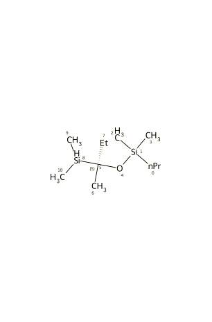 CCC[Si](C)(C)O[C@](C)(CC)[SiH](C)C